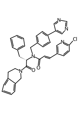 O=C([C@H](Cc1ccccc1)N(Cc1ccc(-c2cncnc2)cc1)C(=O)/C=C/c1ccc(Cl)nc1)N1CCc2ccccc2C1